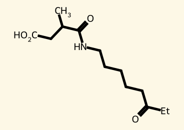 CCC(=O)CCCCCNC(=O)C(C)CC(=O)O